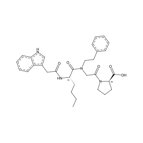 CCCC[C@H](NC(=O)Cc1c[nH]c2ccccc12)C(=O)N(CCc1ccccc1)CC(=O)N1CCC[C@@H]1C(=O)O